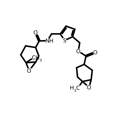 CC12CCC(C(=O)NCc3ccc(COC(=O)C4CCC5(C)OC5C4)s3)CC1O2